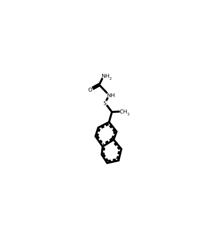 CC(SNC(N)=O)c1ccc2ccccc2c1